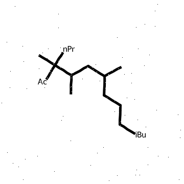 CCCC(C)(C(C)=O)C(C)CC(C)CCCC(C)CC